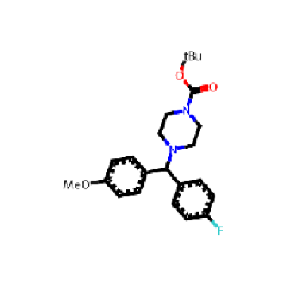 COc1ccc(C(c2ccc(F)cc2)N2CCN(C(=O)OC(C)(C)C)CC2)cc1